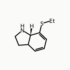 CCSC1=CC=CC2CCN[C@H]12